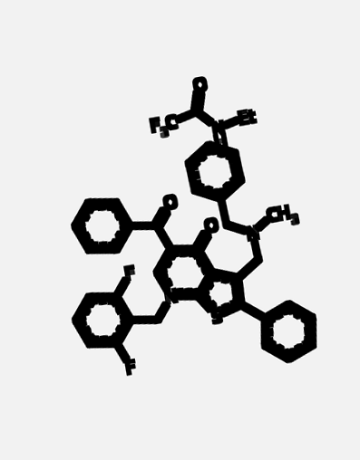 CCNC(=O)C(F)(F)F.CN(Cc1ccccc1)Cc1c(-c2ccccc2)sc2c1c(=O)c(C(=O)c1ccccc1)cn2Cc1c(F)cccc1F